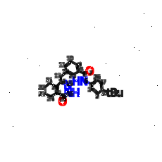 CC(C)(C)c1ccc(NC(=O)c2cccc(Cc3n[nH]c(=O)c4c3CCCC4)c2)cc1